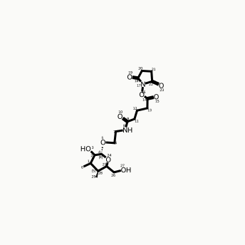 CC1C(O)[C@H](OCCNC(=O)CCCC(=O)ON2C(=O)CCC2=O)OC(CO)[C@H]1C